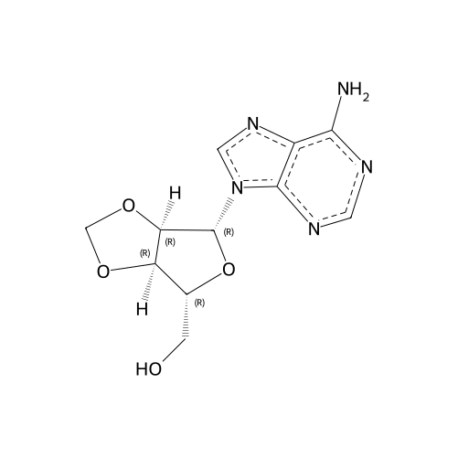 Nc1ncnc2c1ncn2[C@@H]1O[C@H](CO)[C@H]2OCO[C@H]21